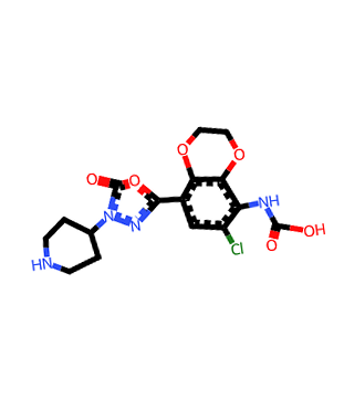 O=C(O)Nc1c(Cl)cc(-c2nn(C3CCNCC3)c(=O)o2)c2c1OCCO2